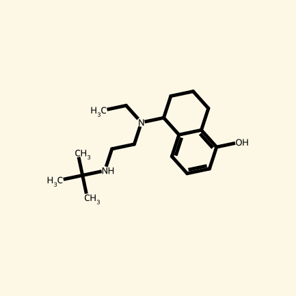 CCN(CCNC(C)(C)C)C1CCCc2c(O)cccc21